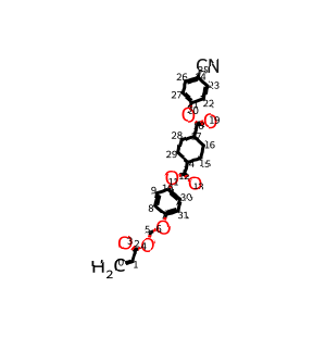 C=CC(=O)OCOc1ccc(OC(=O)C2CCC(C(=O)Oc3ccc(C#N)cc3)CC2)cc1